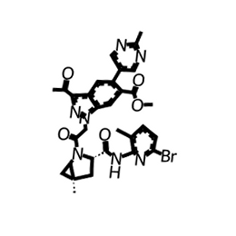 COC(=O)c1cc2c(cc1-c1cnc(C)nc1)c(C(C)=O)nn2CC(=O)N1C2C[C@]2(C)C[C@H]1C(=O)Nc1nc(Br)ccc1C